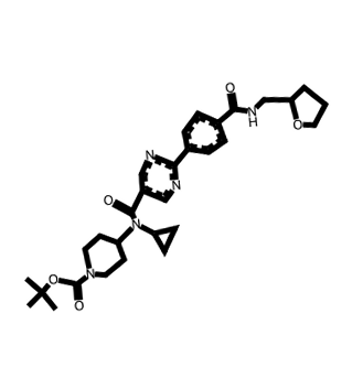 CC(C)(C)OC(=O)N1CCC(N(C(=O)c2cnc(-c3ccc(C(=O)NCC4CCCO4)cc3)nc2)C2CC2)CC1